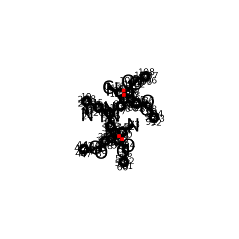 [C-]#[N+]c1cccc(-c2cc(-c3nc(-c4ccc(-c5ccccc5C#N)cc4)nc(-c4ccc(-n5c6ccc(C(=O)OCc7ccccc7)cc6c6cc(C(=O)OCc7ccccc7)ccc65)c(-c5cccc(C#N)c5)c4)n3)ccc2-n2c3ccc(C(=O)OCc4ccccc4)cc3c3cc(C(=O)OCc4ccccc4)ccc32)c1